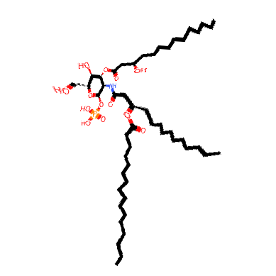 CCCCCCCCCCCCCCCC(=O)O[C@H](CCCCCCCCCCC)CC(=O)N[C@H]1[C@@H](OP(=O)(O)O)O[C@H](CO)[C@@H](O)[C@@H]1OC(=O)C[C@H](O)CCCCCCCCCCC